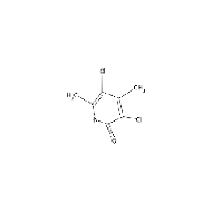 CC1=C(Cl)C(C)=C(Cl)C(=O)[N]1